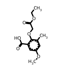 CCOC(=O)COc1c(C)cc(OC)cc1C(=O)O